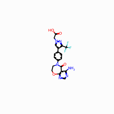 Nc1ncnc2c1C(=O)N(c1ccc(-c3cn(CC(=O)O)nc3C(F)(F)F)cc1)CCO2